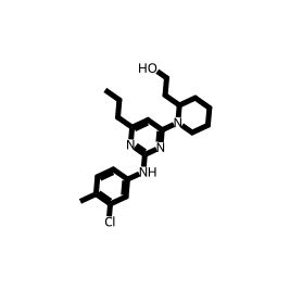 CCCc1cc(N2CCCCC2CCO)nc(Nc2ccc(C)c(Cl)c2)n1